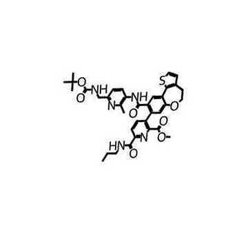 CCCNC(=O)c1ccc(-c2cc3c(cc2C(=O)Nc2ccc(CNC(=O)OC(C)(C)C)nc2C)-c2sccc2CCO3)c(C(=O)OC)n1